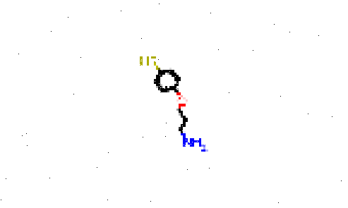 NCCCOc1ccc(S)cc1